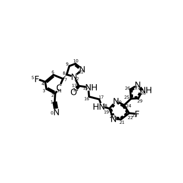 N#CC1=CC(F)=CC([C@@H]2CC=NN2C(=O)NCCNc2ncc(F)c(-c3cn[nH]c3)n2)C1